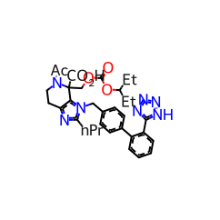 CCCc1nc2c(n1Cc1ccc(-c3ccccc3-c3nnn[nH]3)cc1)C(COC(=O)OC(CC)CC)(C(=O)O)N(C(C)=O)CC2